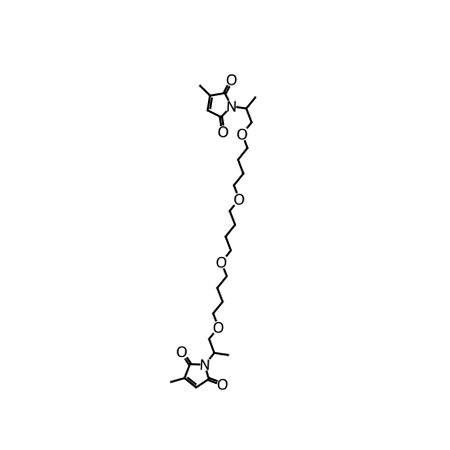 CC1=CC(=O)N(C(C)COCCCCOCCCCOCCCCOCC(C)N2C(=O)C=C(C)C2=O)C1=O